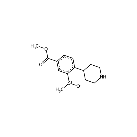 COC(=O)c1ccc(C2CCNCC2)c([S+](C)[O-])c1